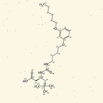 CCCCCCOc1cccc(OCCCCNC(=O)N[C@H](CC(=O)O)C[PH](C)(C)C)c1